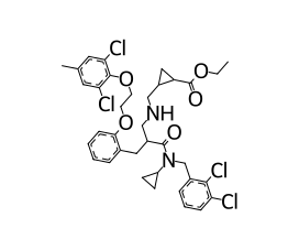 CCOC(=O)C1CC1CNCC(Cc1ccccc1OCCOc1c(Cl)cc(C)cc1Cl)C(=O)N(Cc1cccc(Cl)c1Cl)C1CC1